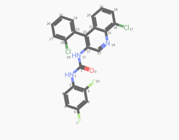 O=C(Nc1ccc(F)cc1F)Nc1cnc2c(Cl)cccc2c1-c1ccccc1Cl